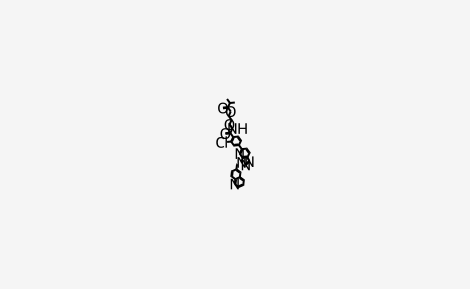 CC(C)C(=O)OCCONC(=O)c1ccc(-c2ccc3nnn(Cc4ccc5ncccc5c4)c3n2)cc1Cl